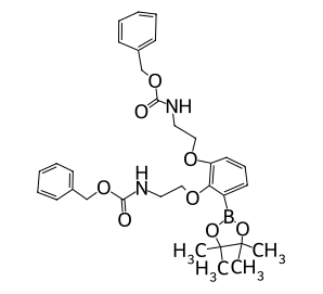 CC1(C)OB(c2cccc(OCCNC(=O)OCc3ccccc3)c2OCCNC(=O)OCc2ccccc2)OC1(C)C